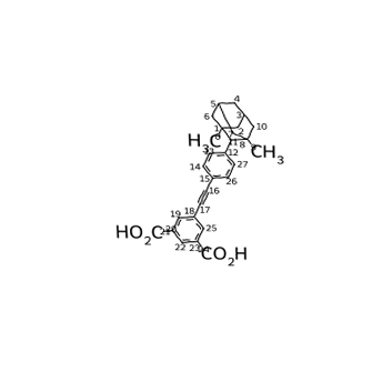 CC12CC3CC(C1)CC(C)(C3)C2c1ccc(C#Cc2cc(C(=O)O)cc(C(=O)O)c2)cc1